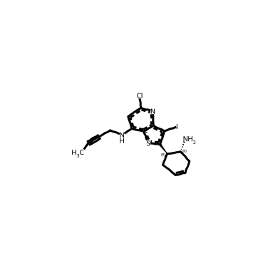 CC#CCNc1cc(Cl)nc2c(I)c([C@@H]3CC=CC[C@H]3N)sc12